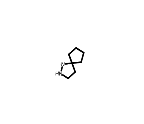 C1CCC2(C1)CCN[N]2